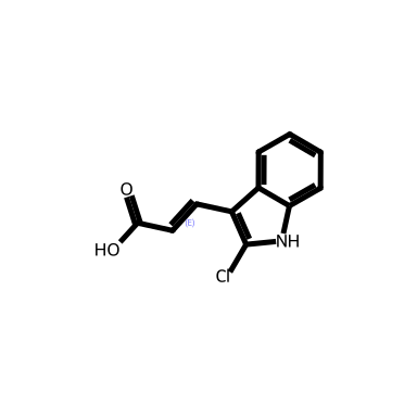 O=C(O)/C=C/c1c(Cl)[nH]c2ccccc12